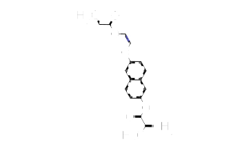 C=CC(=O)O/C=C\Oc1ccc2cc(OC(=O)C(=C)C)ccc2c1